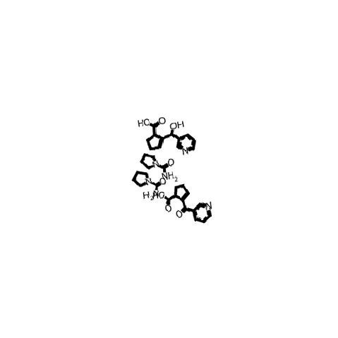 NC(=O)N1CCCC1.NC(=O)N1CCCC1.O=C(C1=CCCC1C(=O)O)c1cccnc1.O=C(O)C1CCC=C1C(O)c1cccnc1